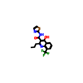 CCCc1nc2c(C(F)(F)F)cccc2c(O)c1C(=O)Nc1nccs1